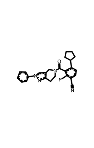 N#Cc1ccc(C2CCCC2)c(C(=O)N2CCc3nn(-c4ccccc4)cc3C2)c1F